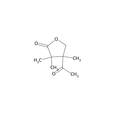 CC(=O)C1(C)COC(=O)C1(C)C